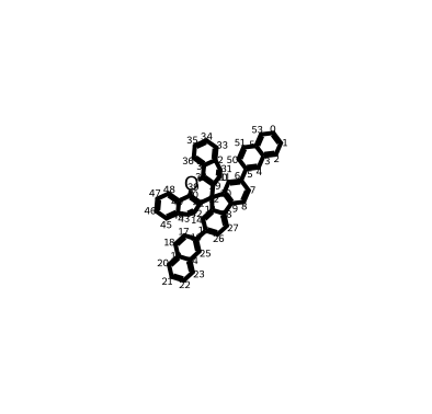 c1ccc2cc(-c3ccc4c(c3)C3(c5cc(-c6ccc7ccccc7c6)ccc5-4)c4ccc5ccccc5c4Oc4c3ccc3ccccc43)ccc2c1